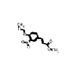 COCOc1ccc(/C=C/C(=O)OC)cc1[N+](=O)[O-]